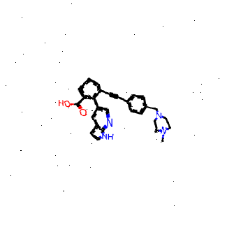 CN1CCN(Cc2ccc(C#Cc3cccc(C(=O)O)c3-c3cnc4[nH]ccc4c3)cc2)CC1